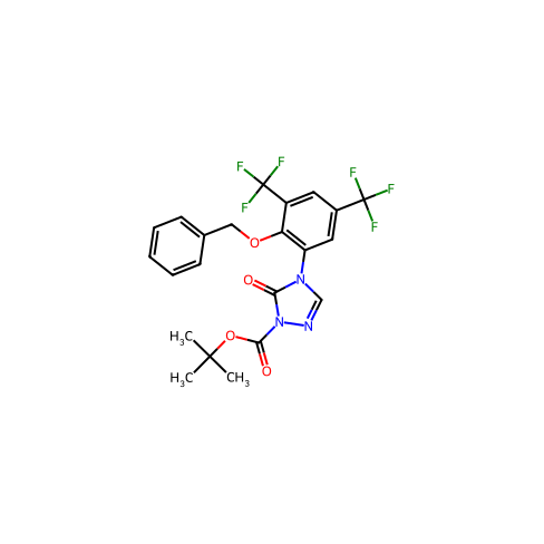 CC(C)(C)OC(=O)n1ncn(-c2cc(C(F)(F)F)cc(C(F)(F)F)c2OCc2ccccc2)c1=O